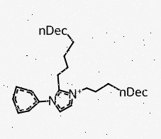 CCCCCCCCCCCCCCc1n(-c2ccccc2)cc[n+]1CCCCCCCCCCCCC